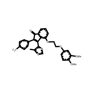 COc1ccc(OCCOc2cccc3c2C(c2ncsc2C)=C(c2ccc(C(F)(F)F)cc2)C3=O)cc1OC